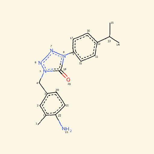 Cc1cc(Cn2nnn(-c3ccc(C(C)C)cc3)c2=O)ccc1N